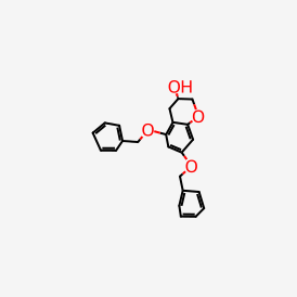 O[C@H]1COc2cc(OCc3ccccc3)cc(OCc3ccccc3)c2C1